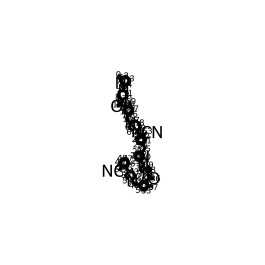 Cc1cccc(N2CCN(C(=O)c3cc(CN4CCCN(c5ccc(Cc6cccc(N7CCN(C(=O)c8cc(CN9CCC(c%10ccccc%10C#N)CC9)ccc8C)CC7)n6)cc5C#N)CC4)ccc3C)CC2)n1